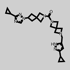 O=C(N1CC2(CC(n3cnc(C4CC4)n3)C2)C1)N1CC2(CN(Cc3cc(C4CC4)n[nH]3)C2)C1